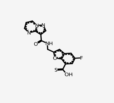 O=C(NCc1cc2cc(F)cc(C(O)=S)c2o1)c1cnn2cccnc12